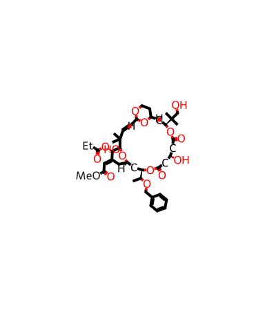 CCC(=O)O[C@H]1/C(=C/C(=O)OC)C[C@H]2C[C@H](C(C)OCc3ccccc3)OC(=O)C[C@H](O)CC(=O)O[C@H](C(C)(C)CO)C[C@@H]3CCO[C@H](/C=C/C(C)(C)[C@]1(O)O2)O3